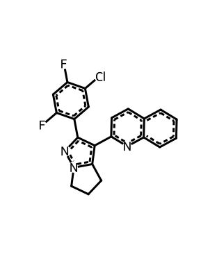 Fc1cc(F)c(-c2nn3c(c2-c2ccc4ccccc4n2)CCC3)cc1Cl